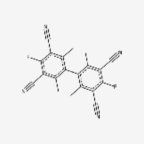 Cc1c(C#N)c(F)c(C#N)c(C)c1-c1c(C)c(C#N)c(F)c(C#N)c1C